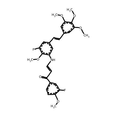 COc1ccc(C(=O)C=CNc2cc(C=Cc3cc(OC)c(OC)c(OC)c3)cc(F)c2OC)cc1F